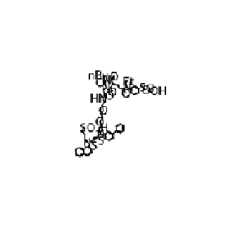 CCCCN1C(=O)C(=CC=C2Oc3ccc(SOOO)cc3N2CC)C(=O)N(CC(=O)NCCOCCOCCN2C(=Cc3sc4ccc5ccccc5c4[n+]3CCCS(=O)(=O)O)Sc3ccc(-c4ccccc4)cc32)C1=O